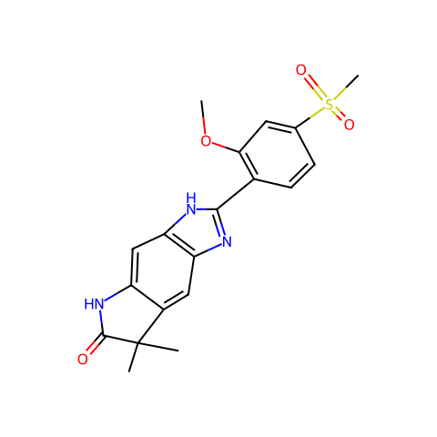 COc1cc(S(C)(=O)=O)ccc1-c1nc2cc3c(cc2[nH]1)NC(=O)C3(C)C